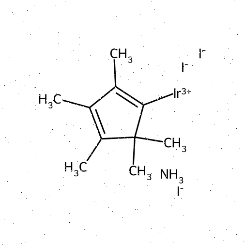 CC1=C(C)C(C)(C)[C]([Ir+3])=C1C.N.[I-].[I-].[I-]